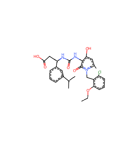 CCOc1cccc(Cl)c1Cn1c(C)cc(O)c(NC(=O)NC(CC(=O)O)c2cccc(C(C)C)c2)c1=O